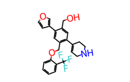 OCc1cc(C2=CCNCC2)c(COc2ccccc2C(F)(F)F)cc1-c1ccoc1